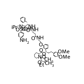 CCC(C)(C)C(=O)C(=O)N1CCCC[C@H]1C(=O)O[C@H](CCc1ccc(OC)c(OC)c1)c1cccc(OCCNC(=O)CCNC(=O)N[C@@H](Cc2ccccc2)[C@H](O)CN(CC(C)C)S(=O)(=O)c2ccc(N)cc2)c1